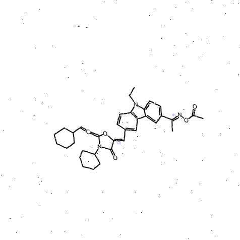 CCn1c2ccc(/C=c3\oc(=C=CC4CCCCC4)n(C4CCCCC4)c3=O)cc2c2cc(/C(C)=N/OC(C)=O)ccc21